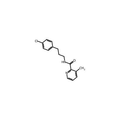 Cc1cccnc1C(=O)NCCCc1ccc(Cl)cc1